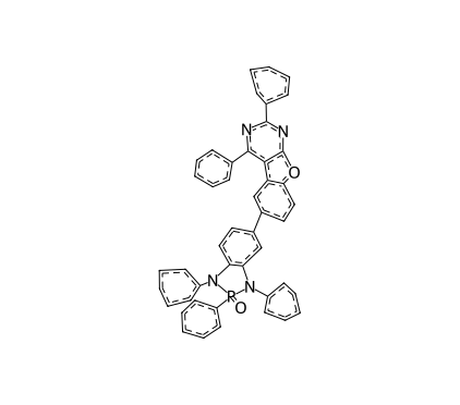 O=P1(c2ccccc2)N(c2ccccc2)c2ccc(-c3ccc4oc5nc(-c6ccccc6)nc(-c6ccccc6)c5c4c3)cc2N1c1ccccc1